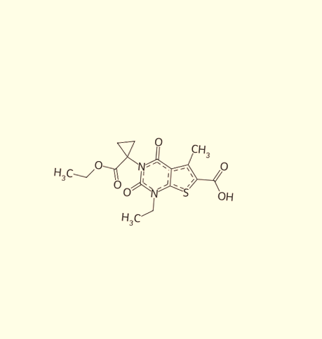 CCOC(=O)C1(n2c(=O)c3c(C)c(C(=O)O)sc3n(CC)c2=O)CC1